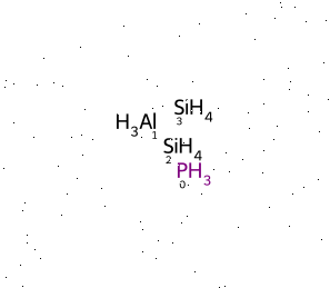 P.[AlH3].[SiH4].[SiH4]